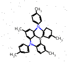 CC1=CC2=C(CC1)N(c1ccc(C)cc1)c1cc(C)cc3c1B2c1cc(C)ccc1N3c1ccc(C)cc1